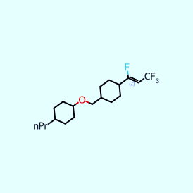 CCCC1CCC(OCC2CCC(/C(F)=C/C(F)(F)F)CC2)CC1